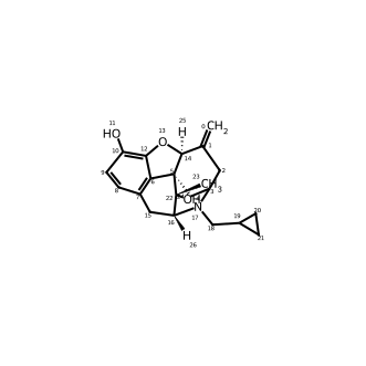 C=C1CC2C[C@]34c5c(ccc(O)c5O[C@@H]13)C[C@@H](N2CC1CC1)[C@@]4(C)O